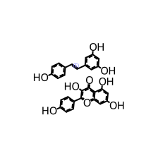 O=c1c(O)c(-c2ccc(O)cc2)oc2cc(O)cc(O)c12.Oc1ccc(/C=C/c2cc(O)cc(O)c2)cc1